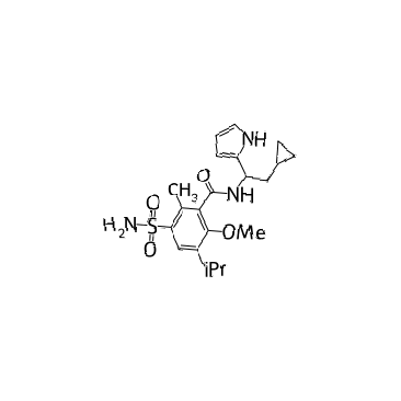 COc1c(C(C)C)cc(S(N)(=O)=O)c(C)c1C(=O)NC(CC1CC1)c1ccc[nH]1